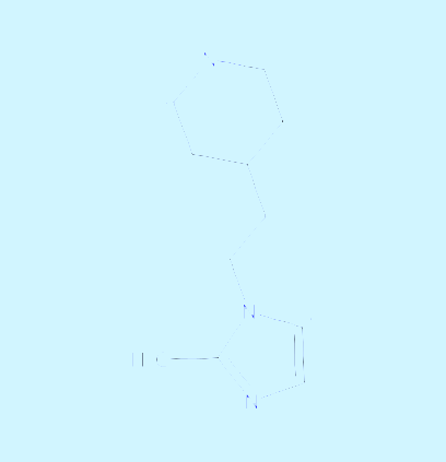 Cc1nccn1CCC1CC[N]CC1